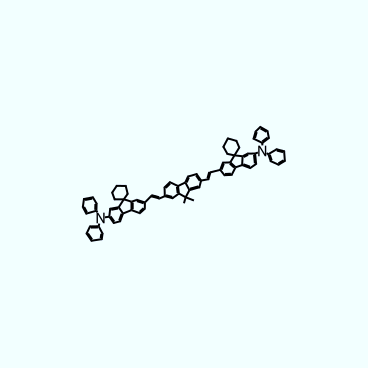 CC1(C)c2cc(/C=C/c3ccc4c(c3)C3(CCCCC3)c3cc(N(c5ccccc5)c5ccccc5)ccc3-4)ccc2-c2ccc(/C=C/c3ccc4c(c3)C3(CCCCC3)c3cc(N(c5ccccc5)c5ccccc5)ccc3-4)cc21